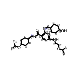 O=C(/N=C/C1CCC(OC(F)F)CC1)c1cnc(NCCOC(F)F)nc1/N=C\C1CCC(O)CC1